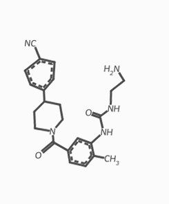 Cc1ccc(C(=O)N2CCC(c3ccc(C#N)cc3)CC2)cc1NC(=O)NCCN